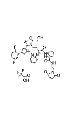 CC(C)(C)[C@H](c1cc(-c2cc(F)ccc2F)cn1Cc1ccccc1)N(CC[C@H](N)C(=O)N[C@H]1CCC[C@H]1C(=O)NCCN1C(=O)C=CC1=O)C(=O)CO.O=C(O)C(F)(F)F